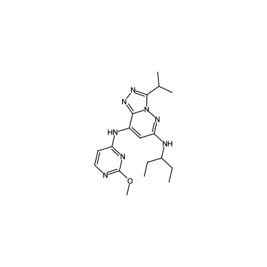 CCC(CC)Nc1cc(Nc2ccnc(OC)n2)c2nnc(C(C)C)n2n1